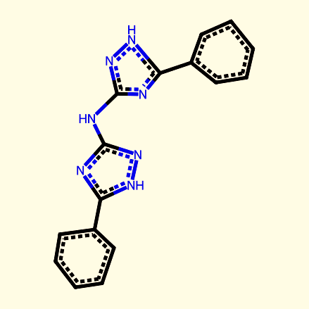 c1ccc(-c2nc(Nc3n[nH]c(-c4ccccc4)n3)n[nH]2)cc1